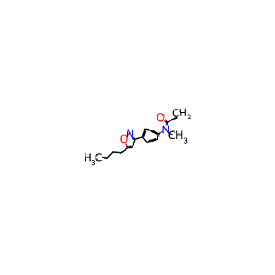 C=CC(=O)N(C)c1ccc(-c2cc(CCCC)on2)cc1